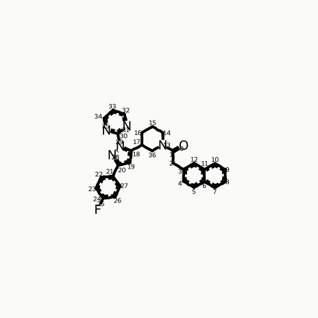 O=C(Cc1ccc2ccccc2c1)N1CCCC(c2cc(-c3ccc(F)cc3)nn2-c2ncccn2)C1